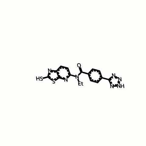 CCN(C(=O)c1ccc(-c2nn[nH]n2)cc1)c1ccc2nc(S)sc2n1